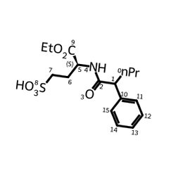 CCCC(C(=O)N[C@@H](CCS(=O)(=O)O)C(=O)OCC)c1ccccc1